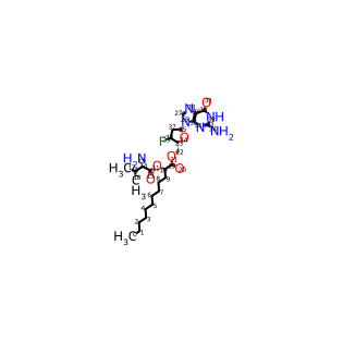 CCCCCCCCCCC(OC(=O)[C@@H](N)C(C)C)C(=O)OC[C@H]1O[C@@H](n2cnc3c(=O)[nH]c(N)nc32)C[C@@H]1F